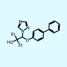 CCC(O)(CC)C(Oc1ccc(-c2ccccc2)cc1)n1cncn1